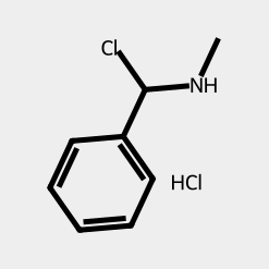 CNC(Cl)c1ccccc1.Cl